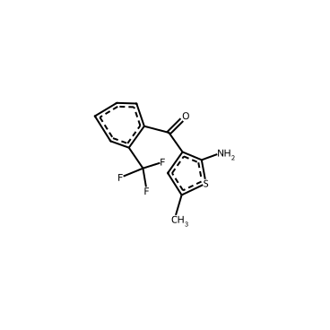 Cc1cc(C(=O)c2ccccc2C(F)(F)F)c(N)s1